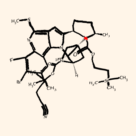 CSc1nc2c(F)c(Br)c(CCC#N)cc2c2c1cc([C@H]1CC[C@@H](C)N1C(=O)OCC[Si](C)(C)C)n2[C@H]1[C@@H]2C[C@H]1N(C(=O)OC(C)(C)C)C2